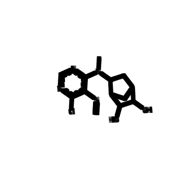 C=Nc1c(Cl)ncnc1N(C)C1CC2CC1C(O)C2O